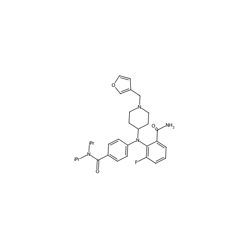 CC(C)N(C(=O)c1ccc(N(c2c(F)cccc2C(N)=O)C2CCN(Cc3ccoc3)CC2)cc1)C(C)C